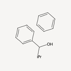 CC(C)C(O)c1ccccc1.c1ccccc1